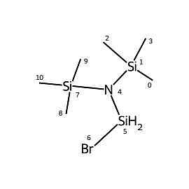 C[Si](C)(C)N([SiH2]Br)[Si](C)(C)C